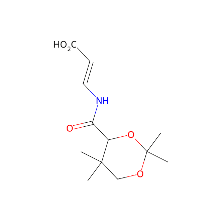 CC1(C)OCC(C)(C)C(C(=O)NC=CC(=O)O)O1